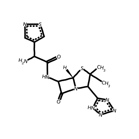 CC1(C)S[C@H]2C(NC(=O)C(N)c3cnsc3)C(=O)N2C1c1nnn[nH]1